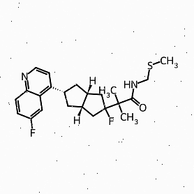 CSCNC(=O)C(C)(C)C1(F)C[C@H]2C[C@@H](c3ccnc4ccc(F)cc34)C[C@H]2C1